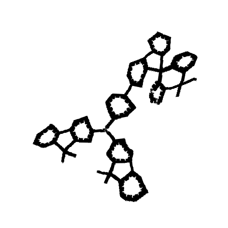 CC1(C)c2ccccc2-c2ccc(N(c3ccc(-c4ccc5c(c4)C4(c6ccccc6-5)c5ccccc5C(C)(C)c5ccccc54)cc3)c3ccc4c(c3)C(C)(C)c3ccccc3-4)cc21